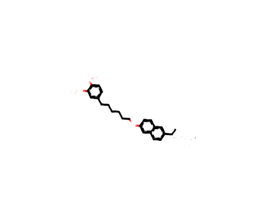 C[C@H](C(=O)O)c1ccc2cc(OCCCCCCc3ccc(O)c(O)c3)ccc2c1